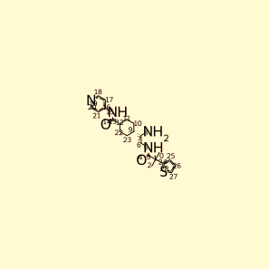 CC(C)(C(=O)NCC(N)[C@H]1CC[C@H](C(=O)Nc2ccncc2)CC1)c1cccs1